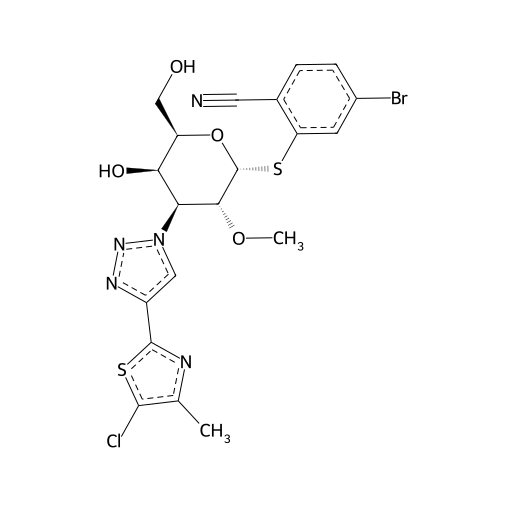 CO[C@@H]1[C@@H](n2cc(-c3nc(C)c(Cl)s3)nn2)[C@@H](O)[C@@H](CO)O[C@@H]1Sc1cc(Br)ccc1C#N